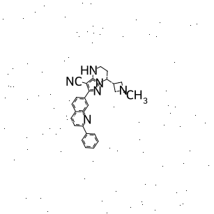 CN1CC(C2CCNc3c(C#N)c(-c4ccc5ccc(-c6ccccc6)nc5c4)nn32)C1